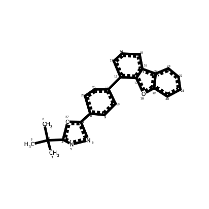 CC(C)(C)c1nnc(-c2ccc(-c3cccc4c3oc3ccccc34)cc2)o1